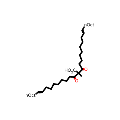 CCCCCCCCC=CCCCCCCCC(=O)C(C)(C(=O)O)C(=O)CCCCCCCC=CCCCCCCCC